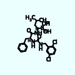 CC(C)C[C@H](NC(=O)[C@H](Cc1ccccc1)NC(=O)NCc1cc(Cl)ccc1Cl)B(O)O